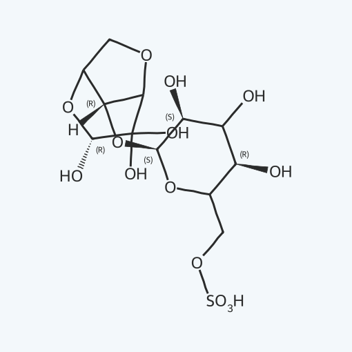 O=S(=O)(O)OCC1O[C@@H](O[C@@H]2C3COC2C(O)(O)[C@H](O)O3)[C@@H](O)C(O)[C@H]1O